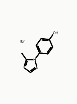 Br.Cc1ncnn1-c1ccc(O)cc1